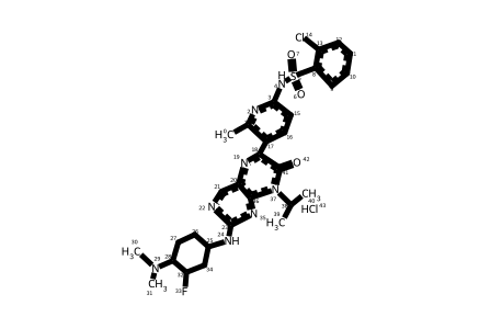 Cc1nc(NS(=O)(=O)c2ccccc2Cl)ccc1-c1nc2cnc(NC3CCC(N(C)C)C(F)C3)nc2n(C(C)C)c1=O.Cl